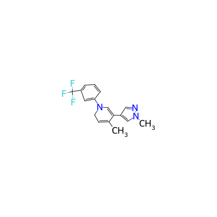 CC1=CCN(c2cccc(C(F)(F)F)c2)C=C1c1cnn(C)c1